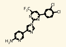 Nc1ccc(-c2cn(-c3nc(-c4ccc(Cl)c(Cl)c4)cc(C(F)(F)F)n3)cn2)cn1